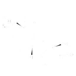 C[C@]12CCCN=C1CC[C@@H]1[C@@H]2CC[C@]2(C)C(=O)CC[C@@H]12